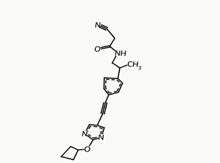 CC(CNC(=O)CC#N)c1ccc(C#Cc2cnc(OC3CCC3)nc2)cc1